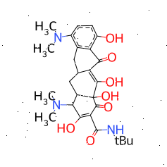 CN(C)c1ccc(O)c2c1CC1CC3C(N(C)C)C(O)=C(C(=O)NC(C)(C)C)C(=O)C3(O)C(O)=C1C2=O